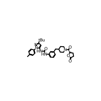 Cc1ccc(-n2nc(C(C)(C)C)cc2NC(=O)Nc2cccc(CC3CCN(C(=O)[C@H]4CCC(=O)O4)CC3)c2)cc1